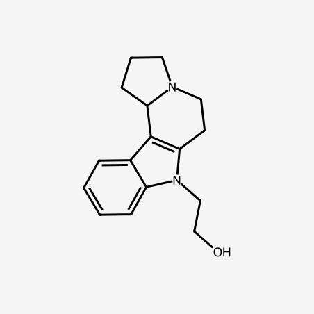 OCCn1c2c(c3ccccc31)C1CCCN1CC2